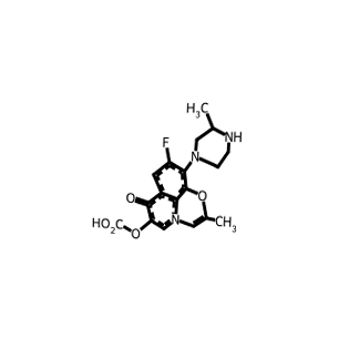 CC1=Cn2cc(OC(=O)O)c(=O)c3cc(F)c(N4CCNC(C)C4)c(c32)O1